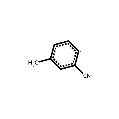 Cc1cc[c]c(C#N)c1